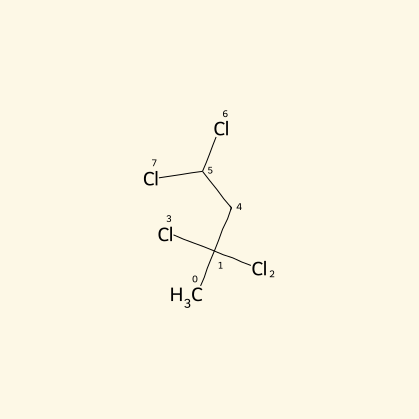 CC(Cl)(Cl)CC(Cl)Cl